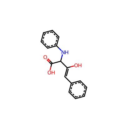 O=C(O)C(Nc1ccccc1)C(O)=Cc1ccccc1